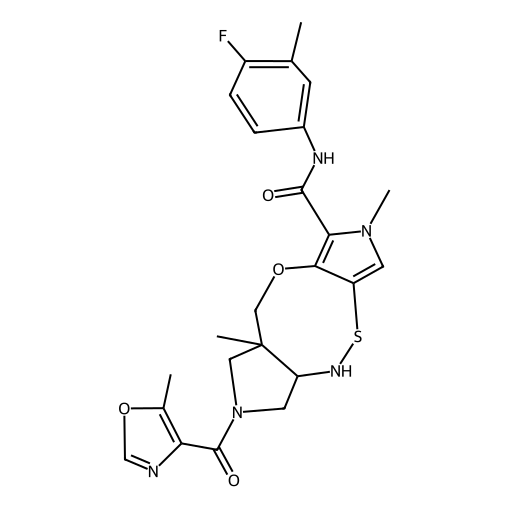 Cc1cc(NC(=O)c2c3c(cn2C)SNC2CN(C(=O)c4ncoc4C)CC2(C)CO3)ccc1F